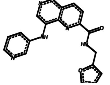 O=C(NCc1ccco1)c1ccc2cncc(Nc3cccnc3)c2n1